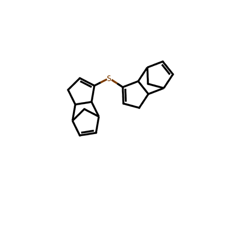 C1=CC2CC1C1CC=C(SC3=CCC4C5C=CC(C5)C34)C21